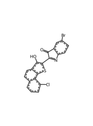 O=C1C(c2sc3c(ccc4cccc(Cl)c43)c2O)=Nc2ccc(Br)cc21